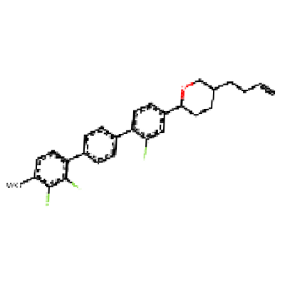 C=CCCC1CCC(c2ccc(-c3ccc(-c4ccc(OC)c(F)c4F)cc3)c(F)c2)OC1